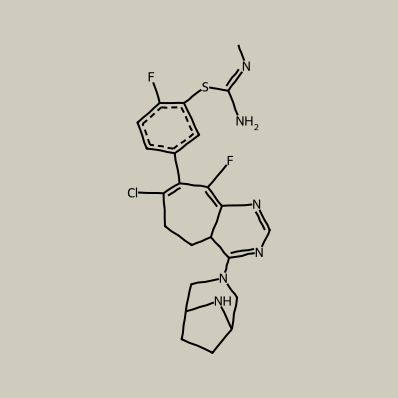 C/N=C(/N)Sc1cc(C2=C(Cl)CCC3C(N4CC5CCC(C4)N5)=NC=NC3=C2F)ccc1F